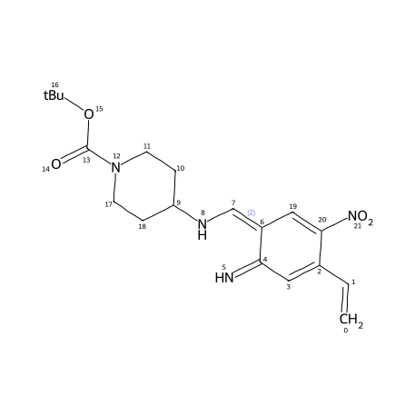 C=CC1=CC(=N)/C(=C\NC2CCN(C(=O)OC(C)(C)C)CC2)C=C1[N+](=O)[O-]